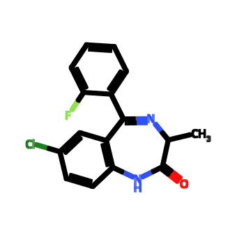 CC1N=C(c2ccccc2F)c2cc(Cl)ccc2NC1=O